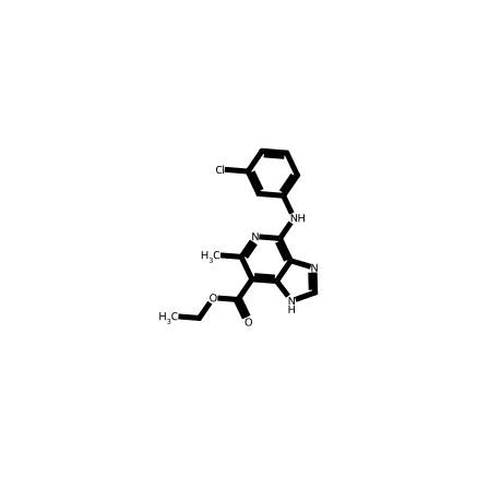 CCOC(=O)c1c(C)nc(Nc2cccc(Cl)c2)c2nc[nH]c12